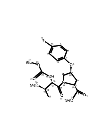 COC(=O)[C@@H]1C[C@H](Oc2ccc(F)cc2)CN1C(=O)[C@@H](NC(=O)OC(C)(C)C)[C@@H](C)OC